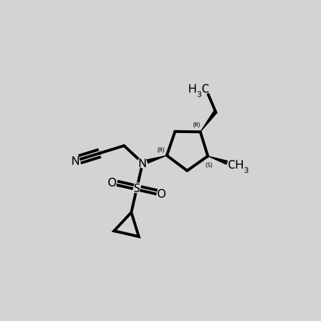 CC[C@@H]1C[C@H](N(CC#N)S(=O)(=O)C2CC2)C[C@@H]1C